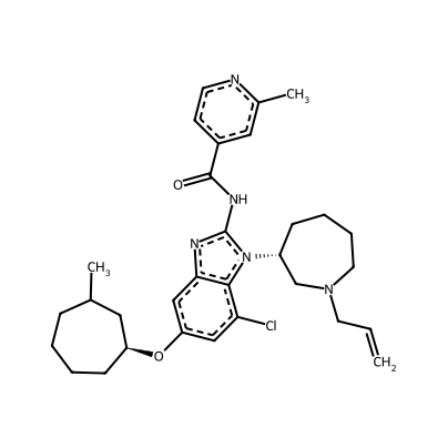 C=CCN1CCCC[C@@H](n2c(NC(=O)c3ccnc(C)c3)nc3cc(O[C@H]4CCCCC(C)C4)cc(Cl)c32)C1